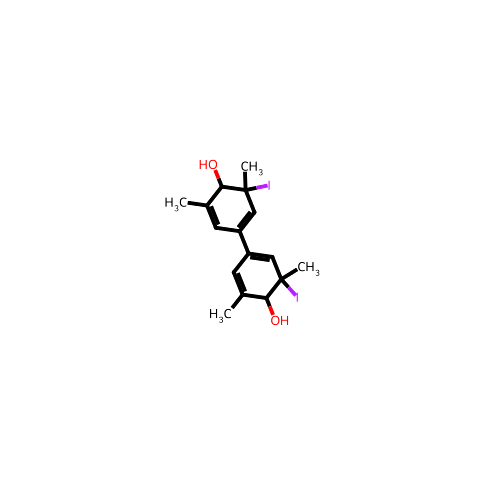 CC1=CC(C2=CC(C)(I)C(O)C(C)=C2)=CC(C)(I)C1O